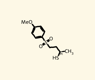 COc1ccc(S(=O)(=O)CC[C@@H](C)S)cc1